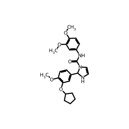 COc1ccc(NC(=O)N2C=CNC2c2ccc(OC)c(OC3CCCC3)c2)cc1OC